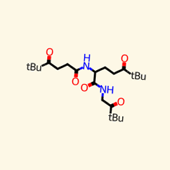 CC(C)(C)C(=O)CCC(=O)NC(CCC(=O)C(C)(C)C)C(=O)NCC(=O)C(C)(C)C